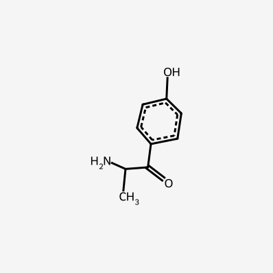 CC(N)C(=O)c1ccc(O)cc1